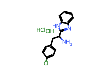 Cl.Cl.NC(Cc1ccc(Cl)cc1)c1nc2ccccc2[nH]1